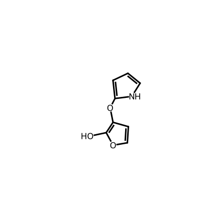 Oc1occc1Oc1ccc[nH]1